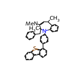 CNC1=CC(C)c2ccccc2N(c2ccc(-c3cccc4c3sc3ccccc34)cc2)C1(C)Cc1ccccc1